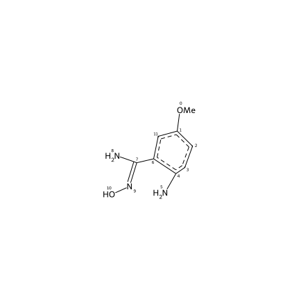 COc1ccc(N)c(C(N)=NO)c1